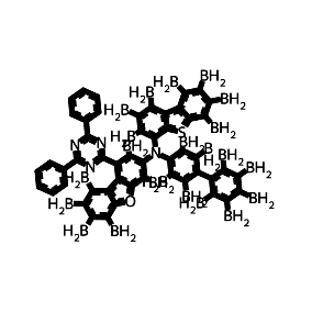 Bc1c(B)c(B)c(-c2c(B)c(B)c(N(c3c(B)c(-c4nc(-c5ccccc5)nc(-c5ccccc5)n4)c4c(oc5c(B)c(B)c(B)c(B)c54)c3B)c3c(B)c(B)c(B)c4c3sc3c(B)c(B)c(B)c(B)c34)c(B)c2B)c(B)c1B